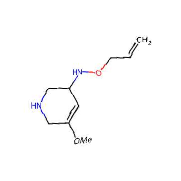 C=CCONC1C=C(OC)CNC1